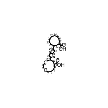 O=C(O)C1CCCCCCCCCC(c2cc3sc(C4CCCCCCCCC(C(=O)O)C4)cc3s2)C1